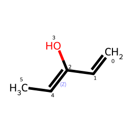 C=C/C(O)=C/C